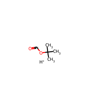 CC(C)(C)O[C]=O.[H+]